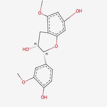 COc1cc([C@H]2Oc3cc(O)cc(OC)c3C[C@H]2O)ccc1O